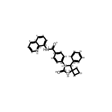 O=C(Nc1cccc2cccnc12)c1ccc(N2C(=O)OC3(CCC3)C2c2ccccc2)cc1